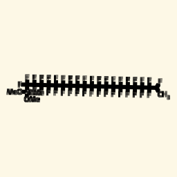 CO[Si](OC)(OC)C(F)(F)C(F)(F)C(F)(F)C(F)(F)C(F)(F)C(F)(F)C(F)(F)C(F)(F)C(F)(F)C(F)(F)C(F)(F)C(F)(F)C(F)(F)C(F)(F)C(F)(F)C(F)(F)C(F)(F)C(F)(F)C(C)F